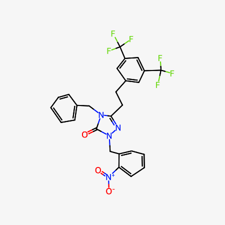 O=c1n(Cc2ccccc2[N+](=O)[O-])nc(CCc2cc(C(F)(F)F)cc(C(F)(F)F)c2)n1Cc1ccccc1